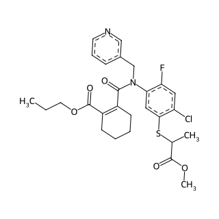 CCCOC(=O)C1=C(C(=O)N(Cc2cccnc2)c2cc(SC(C)C(=O)OC)c(Cl)cc2F)CCCC1